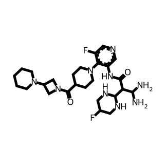 NC(N)C(C(=O)Nc1cncc(F)c1N1CCC(C(=O)N2CC(N3CCCCC3)C2)CC1)C1NCC(F)CN1